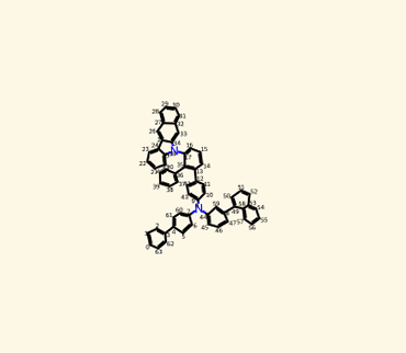 c1ccc(-c2ccc(N(c3ccc(-c4cccc(-n5c6ccccc6c6cc7ccccc7cc65)c4-c4ccccc4)cc3)c3cccc(-c4cccc5ccccc45)c3)cc2)cc1